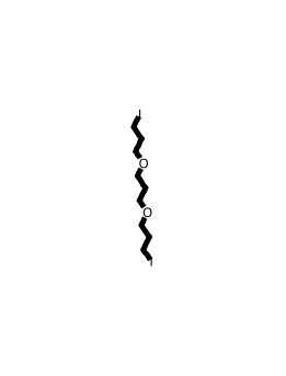 ICCCOCCCOCCCI